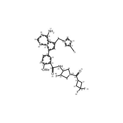 COc1ncc(-c2cc(Cn3cnc(C)c3)c3c(N)ncnn23)cc1C(=O)NC1CN(C(=O)C2CC(F)(F)C2)CC1F